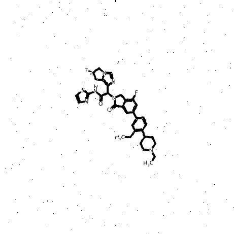 CCc1cc(-c2cc(F)c3c(c2)C(=O)N(C(C(=O)Nc2nccs2)c2ncn4c2C[C@@H](F)C4)C3)ccc1C1CCN(CC)CC1